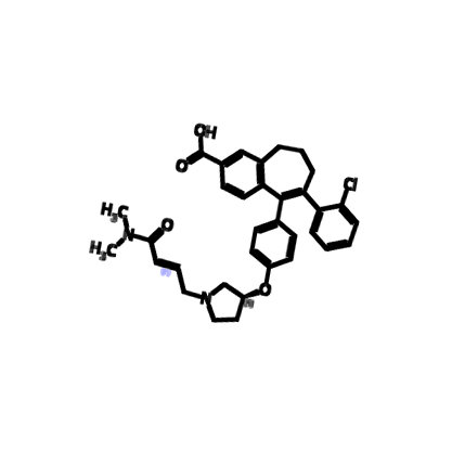 CN(C)C(=O)/C=C/CN1CC[C@H](Oc2ccc(C3=C(c4ccccc4Cl)CCCc4cc(C(=O)O)ccc43)cc2)C1